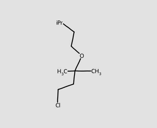 CC(C)CCOC(C)(C)CCCl